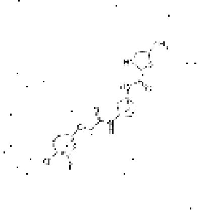 CC1CNC(C(=O)NC23CCC(NC(=O)COc4ccc(Cl)c(F)c4)(C2)C3)S1